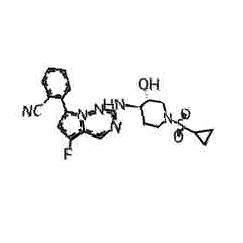 N#Cc1ccccc1-c1cc(F)c2cnc(N[C@@H]3CCN(S(=O)(=O)C4CC4)C[C@H]3O)nn12